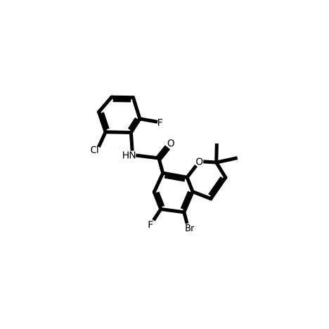 CC1(C)C=Cc2c(Br)c(F)cc(C(=O)Nc3c(F)cccc3Cl)c2O1